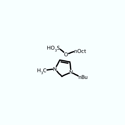 CCCCCCCCOS(=O)(=O)O.CCCCN1C=CN(C)C1